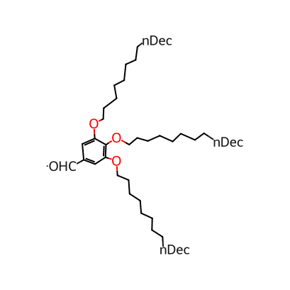 CCCCCCCCCCCCCCCCCCOc1cc([C]=O)cc(OCCCCCCCCCCCCCCCCCC)c1OCCCCCCCCCCCCCCCCCC